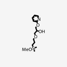 CO[Si](C)(C)CCCOCC(O)COc1ccccn1